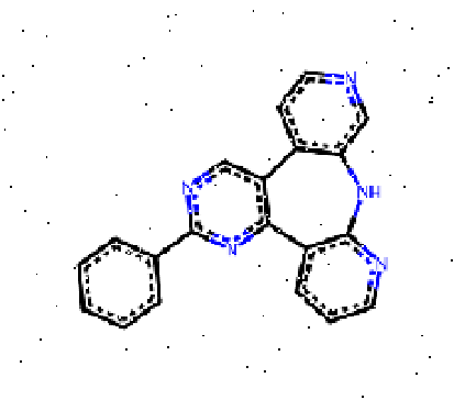 c1ccc(-c2ncc3c(n2)-c2cccnc2Nc2cnccc2-3)cc1